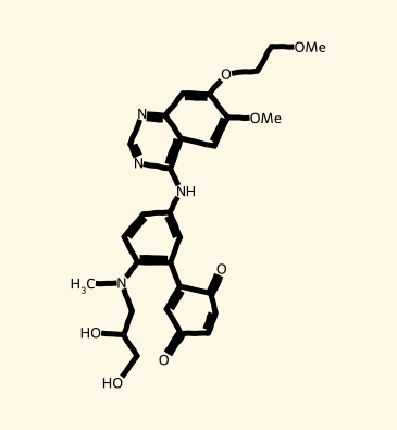 COCCOc1cc2ncnc(Nc3ccc(N(C)CC(O)CO)c(C4=CC(=O)C=CC4=O)c3)c2cc1OC